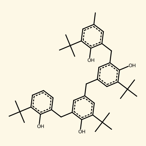 Cc1cc(Cc2cc(Cc3cc(Cc4cccc(C(C)(C)C)c4O)c(O)c(C(C)(C)C)c3)cc(C(C)(C)C)c2O)c(O)c(C(C)(C)C)c1